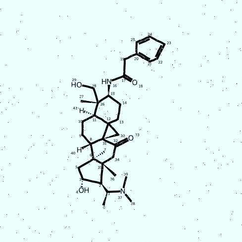 C[C@@H]([C@H]1[C@H](O)C[C@@]2(C)[C@@H]3CC[C@@H]4C5(CC[C@H](NC(=O)Cc6ccccc6)[C@@]4(C)CO)C[C@@]35C(=O)C[C@]12C)N(C)C